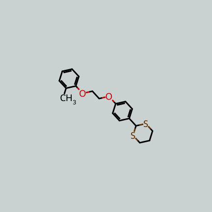 Cc1ccccc1OCCOc1ccc(C2SCCCS2)cc1